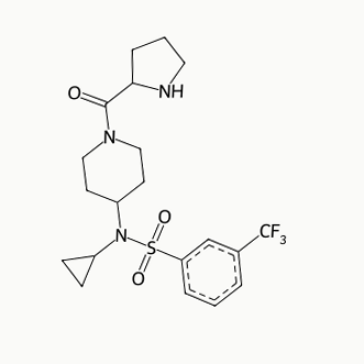 O=C(C1CCCN1)N1CCC(N(C2CC2)S(=O)(=O)c2cccc(C(F)(F)F)c2)CC1